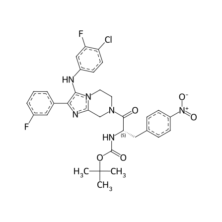 CC(C)(C)OC(=O)N[C@@H](Cc1ccc([N+](=O)[O-])cc1)C(=O)N1CCn2c(nc(-c3cccc(F)c3)c2Nc2ccc(Cl)c(F)c2)C1